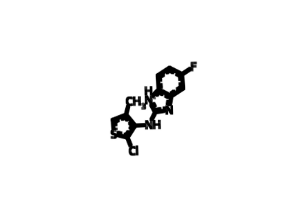 Cc1csc(Cl)c1Nc1nc2cc(F)ccc2[nH]1